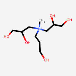 C[N+](CCCO)(CC(O)CO)CC(O)CO